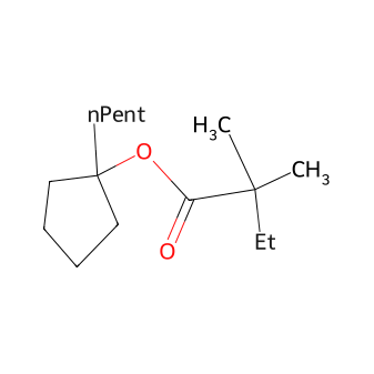 CCCCCC1(OC(=O)C(C)(C)CC)CCCC1